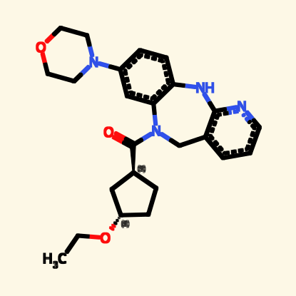 CCO[C@H]1CC[C@H](C(=O)N2Cc3cccnc3Nc3ccc(N4CCOCC4)cc32)C1